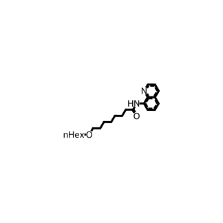 CCCCCCOCCCCCCCC(=O)Nc1cccc2cccnc12